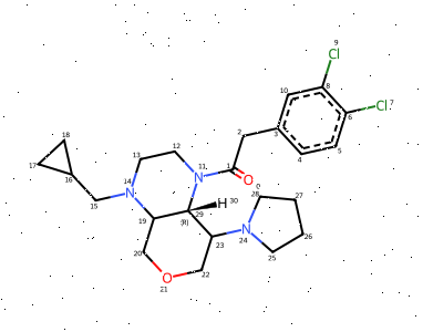 O=C(Cc1ccc(Cl)c(Cl)c1)N1CCN(CC2CC2)C2COCC(N3CCCC3)[C@H]21